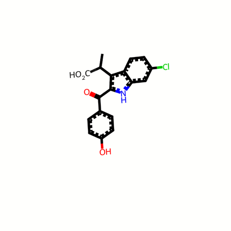 CC(C(=O)O)c1c(C(=O)c2ccc(O)cc2)[nH]c2cc(Cl)ccc12